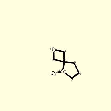 [O-][S+]1CCCC12COC2